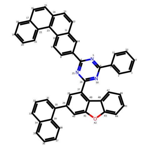 c1ccc(-c2nc(-c3ccc4c(ccc5ccc6ccccc6c54)c3)nc(-c3cc(-c4cccc5ccccc45)cc4oc5ccccc5c34)n2)cc1